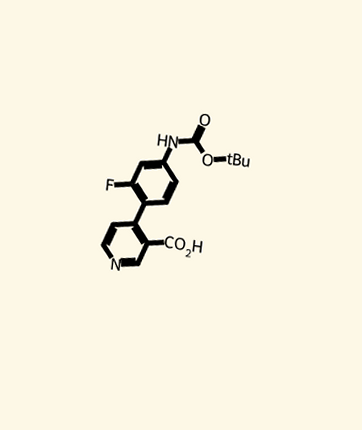 CC(C)(C)OC(=O)Nc1ccc(-c2ccncc2C(=O)O)c(F)c1